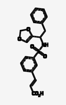 O=C(O)C=Cc1cccc(S(=O)(=O)NC(Cc2ccccc2)C2=COCO2)c1